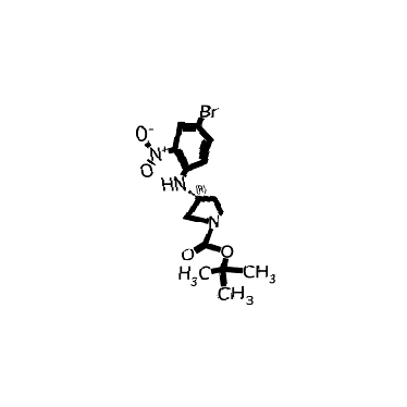 CC(C)(C)OC(=O)N1CC[C@@H](Nc2ccc(Br)cc2[N+](=O)[O-])C1